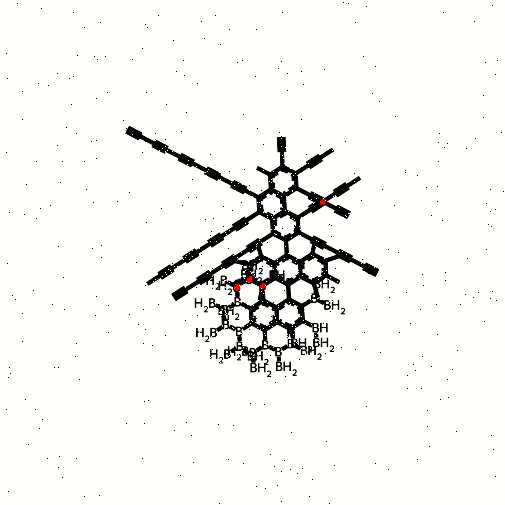 BBB(B)B(B(B)B)c1c(B(B(B)B)B(B)B)c(B(BB)B(B)B)c(B(B)B(B)B)c2c(-c3c4c(C)c(C)c(C)c(C)c4c(-c4c(C#CC#CC#C)c(C#CC#CC)c5c(c4C#CC#CC#CC#C)c(C#CC#CC#CC#CC)c(C#CC#CC#CC#CC#C)c4c(C)c(C#C)c(C#CC)c(C#CC#C)c45)c4c(C)c(C)c(C)c(C)c34)c(B(B)B)c(BB)c(B)c12